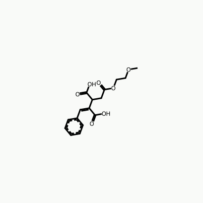 COCCOC(=O)CC(C(=O)O)C(=Cc1ccccc1)C(=O)O